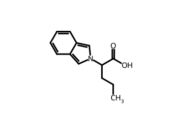 CCCC(C(=O)O)n1cc2ccccc2c1